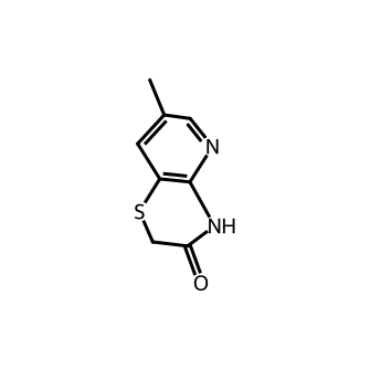 Cc1cnc2c(c1)SCC(=O)N2